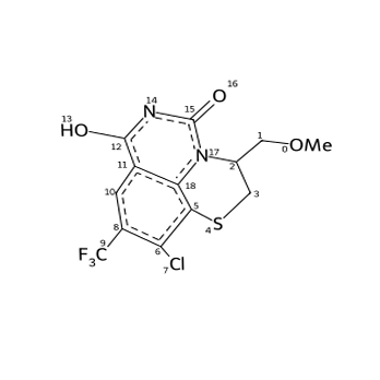 COCC1CSc2c(Cl)c(C(F)(F)F)cc3c(O)nc(=O)n1c23